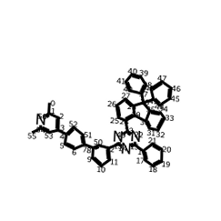 Cc1cc(-c2ccc(-c3cccc(-c4nc(-c5ccccc5)nc(-c5cccc6c5-c5ccccc5C6(c5ccccc5)c5ccccc5)n4)c3)cc2)cc(C)n1